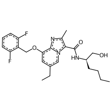 CCCC[C@H](CO)NC(=O)c1c(C)nc2c(OCc3c(F)cccc3F)cc(CC)cn12